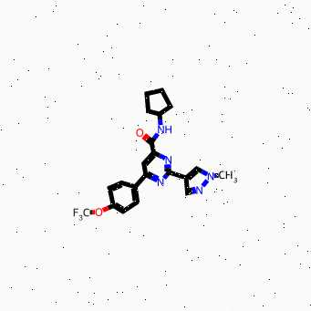 Cn1cc(-c2nc(C(=O)NC3CCCC3)cc(-c3ccc(OC(F)(F)F)cc3)n2)cn1